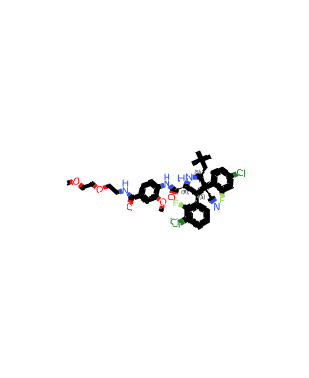 COCCOCCNC(=O)c1ccc(NC(=O)[C@@H]2N[C@@H](CC(C)(C)C)[C@](C#N)(c3ccc(Cl)cc3F)[C@H]2c2cccc(Cl)c2F)c(OC)c1